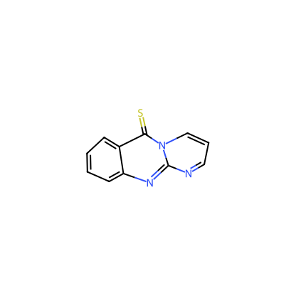 S=c1c2ccccc2nc2ncccn12